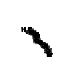 Cc1ccc(-c2noc(-c3cccc(OCC4CCN(Cc5ccc(Br)cc5)CC4)c3)n2)cn1